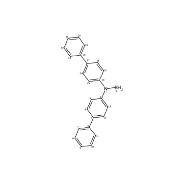 BN(c1ccc(-c2ccccc2)cc1)c1ccc(-c2ccccc2)cc1